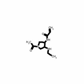 C=CC(=O)NC1CN(C(C)=O)CC1NCC